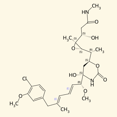 CNC(=O)C[C@H](O)[C@]1(C)O[C@H]1[C@H](C)[C@@H]1C[C@](O)([C@@H](/C=C/C=C(\C)Cc2ccc(Cl)c(OC)c2)OC)NC(=O)O1